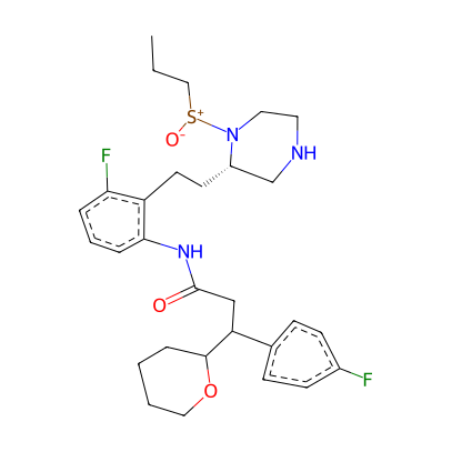 CCC[S+]([O-])N1CCNC[C@@H]1CCc1c(F)cccc1NC(=O)CC(c1ccc(F)cc1)C1CCCCO1